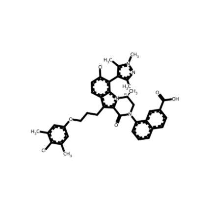 Cc1cc(OCCCc2c3n(c4c(-c5c(C)nn(C)c5C)c(Cl)ccc24)[C@H](C)CN(c2cccc4ccc(C(=O)O)cc24)C3=O)cc(C)c1Cl